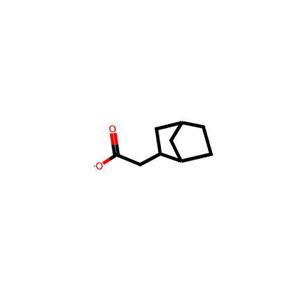 [O]C(=O)CC1CC2CCC1C2